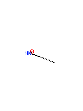 CCCCCCCCCCCCCCCCC(=O)NC